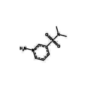 CN(C)S(=O)(=O)c1ccc[n+](N)c1